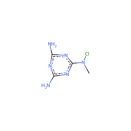 CN(Cl)c1nc(N)nc(N)n1